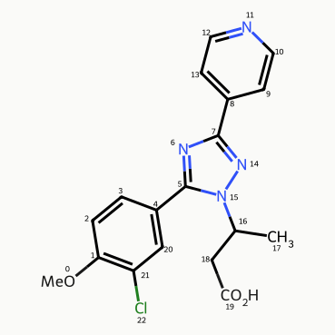 COc1ccc(-c2nc(-c3ccncc3)nn2C(C)CC(=O)O)cc1Cl